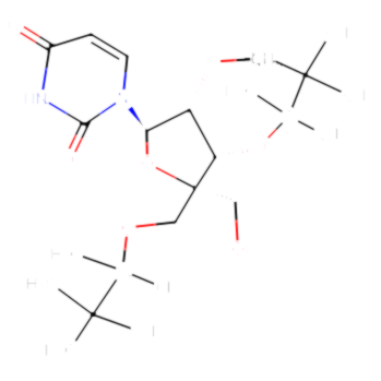 CO[C@H]1[C@H](n2ccc(=O)[nH]c2=O)O[C@](CO)(CO[Si](C)(C)C(C)(C)C)[C@H]1O[Si](C)(C)C(C)(C)C